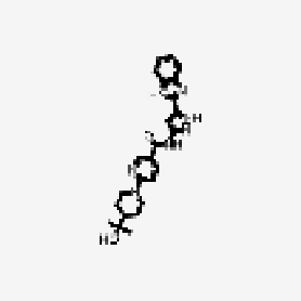 CC(C)(O)C1CCN(c2ccc(C(=O)Nc3cc(-c4nc5ccccc5[nH]4)[nH]n3)cn2)CC1